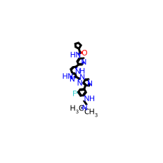 CN(C)CCNc1cc(F)cc(-c2cncc3[nH]c(-c4n[nH]c5ccc(-c6cncc(NC(=O)C7CCCC7)c6)nc45)nc23)c1